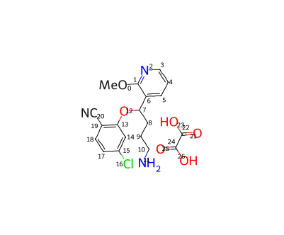 COc1ncccc1C(CCCN)Oc1cc(Cl)ccc1C#N.O=C(O)C(=O)O